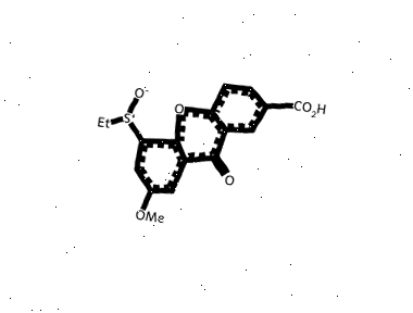 CC[S+]([O-])c1cc(OC)cc2c(=O)c3cc(C(=O)O)ccc3oc12